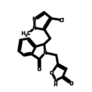 Cn1ncc(Cl)c1CC1c2ccccc2C(=O)N1Cc1cc(=O)[nH]o1